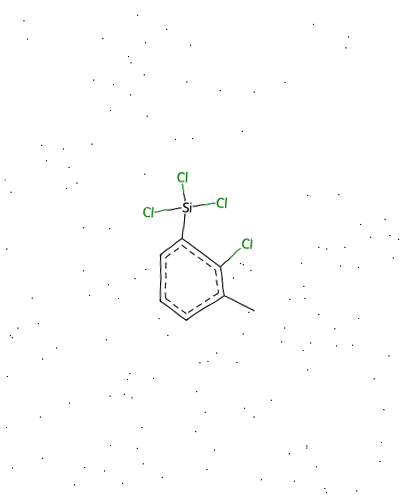 Cc1cccc([Si](Cl)(Cl)Cl)c1Cl